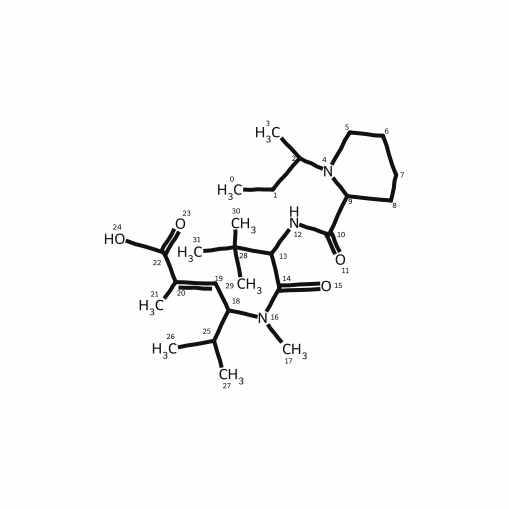 CCC(C)N1CCCCC1C(=O)NC(C(=O)N(C)C(/C=C(\C)C(=O)O)C(C)C)C(C)(C)C